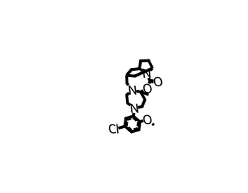 COc1ccc(Cl)cc1N1CCN2CC3CC4CCC(C3)N4C(=O)OC2(C)CC1